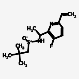 C=Cc1ccc(F)c(C(C)N[S+]([O-])CC(C)(C)C)n1